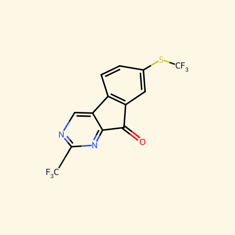 O=C1c2cc(SC(F)(F)F)ccc2-c2cnc(C(F)(F)F)nc21